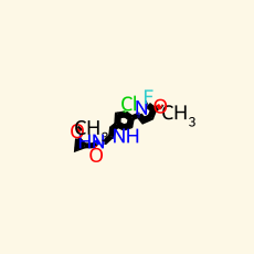 COc1ccc(-c2cc3[nH]c(CNC(=O)C4CC4OC)cc3cc2Cl)nc1F